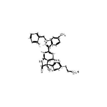 Cc1ccc2c(-c3nc(N)c4c(n3)NC(=O)C4(C)c3ccc(CCC(=O)O)cc3)nn(Cc3ccccc3F)c2c1